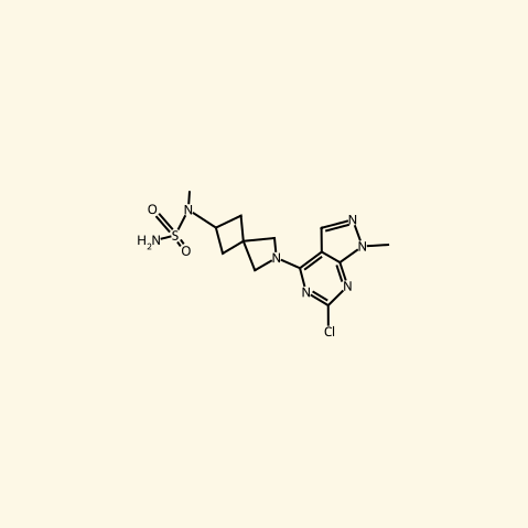 CN(C1CC2(C1)CN(c1nc(Cl)nc3c1cnn3C)C2)S(N)(=O)=O